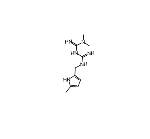 Cc1ccc(CNC(=N)NC(=N)N(C)C)[nH]1